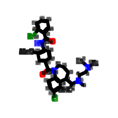 CCN(CC)CCN(C)C(C=O)C1CCCN(C(=O)c2ccc(NC(=O)c3ccccc3Br)c(OC)c2)c2ccc(Cl)cc21